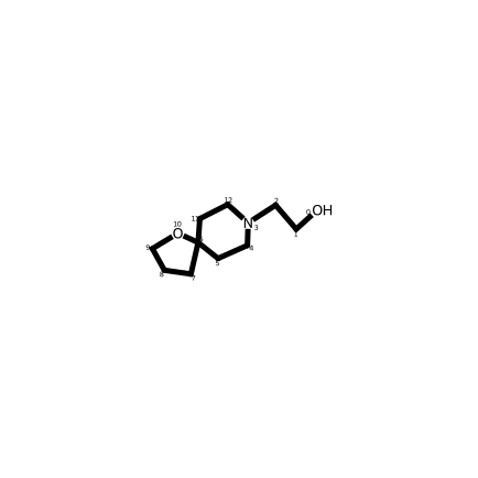 OCCN1CCC2(CCCO2)CC1